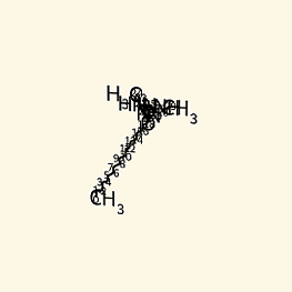 CCCCCCCCCCCCCCCCCCOc1nc(NCC)nc(NCC)n1